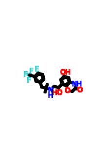 CC(C)(Cc1ccc(F)c(C(F)(F)F)c1)NCC(O)c1cc(O)cc2c1OCC(=O)N2